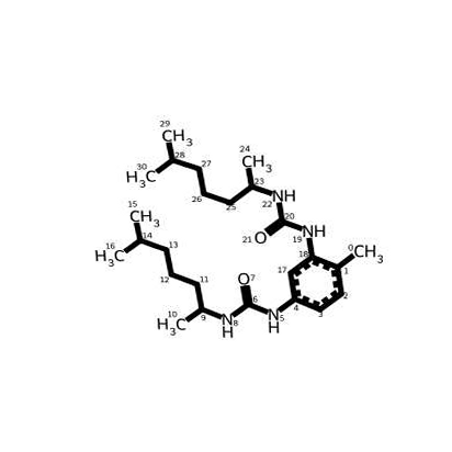 Cc1ccc(NC(=O)NC(C)CCCC(C)C)cc1NC(=O)NC(C)CCCC(C)C